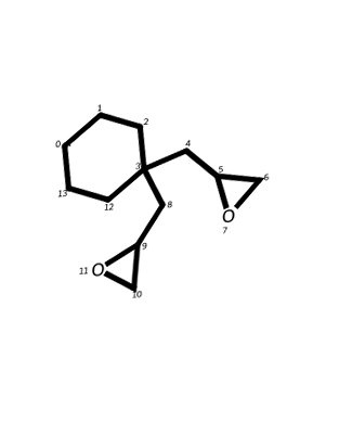 [CH]1CCC(CC2CO2)(CC2CO2)CC1